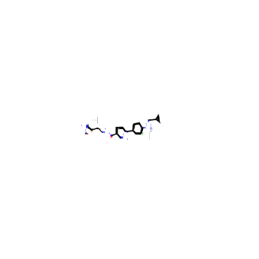 CC(=O)N(CC1CC1)c1ccc(-c2ccc(C(=O)NCCc3scnc3C)cn2)cc1Cl